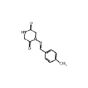 Cc1ccc(/C=N/N2CC(=O)NCC2=O)cc1